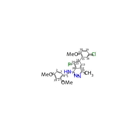 COc1ccc(CNc2nnc(C)c3cc(-c4cc(Cl)ccc4OC)cc(F)c23)c(OC)c1